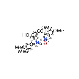 COc1cc2c(cc1OC)CCN(C(=O)CCN(C[C@H]1Cc3cc(OC)c(OC)cc31)C1CCCC1)CC2.O=C(O)C=CC(=O)O